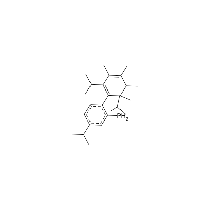 CC1=C(C)C(C)C(C)(C(C)C)C(c2ccc(C(C)C)cc2P)=C1C(C)C